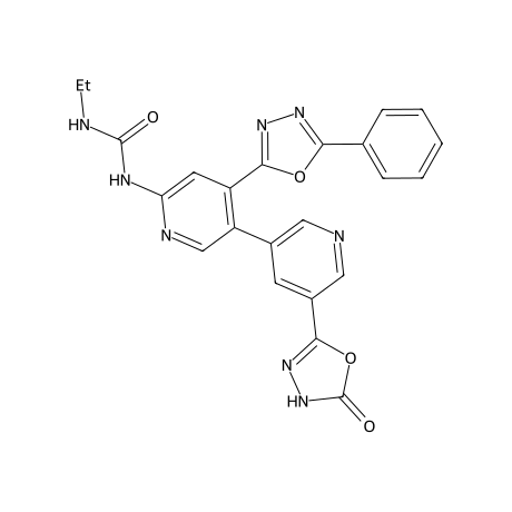 CCNC(=O)Nc1cc(-c2nnc(-c3ccccc3)o2)c(-c2cncc(-c3n[nH]c(=O)o3)c2)cn1